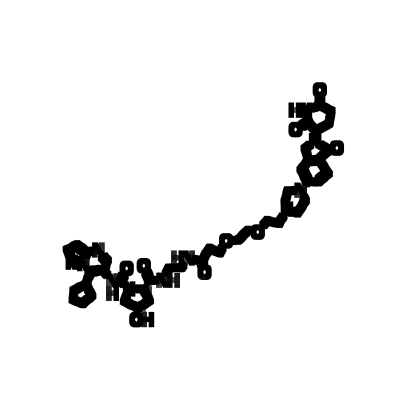 O=C(CCOCCOCCN1CCN(c2ccc3c(c2)CN(C2CCC(=O)NC2=O)C3=O)CC1)NCCNC(=O)[C@@H]1C[C@@H](O)CN1C(=O)Nc1cnc2ccnn2c1C1CCCC1